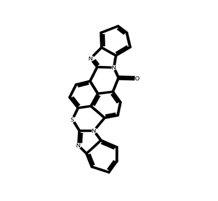 O=c1c2ccc3c4c(ccc(c24)c2nc4ccccc4n12)sc1nc2ccccc2n13